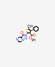 Cc1sc(NC(=O)c2cnccn2)c(C(=O)OC(C)C)c1-c1ccccc1